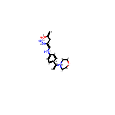 C=C(O)C/C(=C/Nc1ccc(C(=C)N2CCOCC2)cc1)N=N